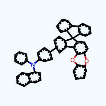 c1ccc(N(c2ccc(-c3ccc4c(c3)-c3c(ccc5c3Oc3ccccc3O5)C43c4ccccc4-c4ccccc43)cc2)c2cccc3ccccc23)cc1